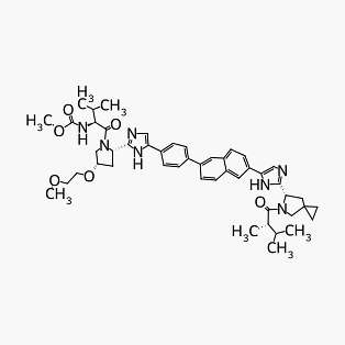 COCCO[C@H]1C[C@@H](c2ncc(-c3ccc(-c4ccc5cc(-c6cnc([C@@H]7CC8(CC8)CN7C(=O)[C@@H](C)C(C)C)[nH]6)ccc5c4)cc3)[nH]2)N(C(=O)[C@@H](NC(=O)OC)C(C)C)C1